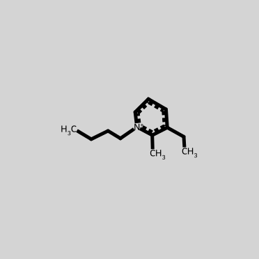 CCCC[n+]1cccc(CC)c1C